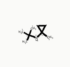 CC(C)(C)NC1(C)CC1